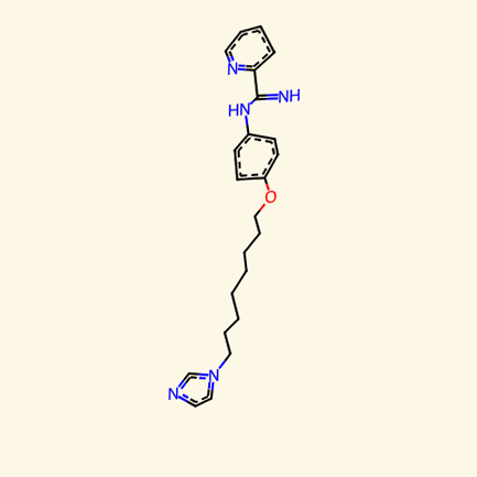 N=C(Nc1ccc(OCCCCCCCCn2ccnc2)cc1)c1ccccn1